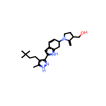 C=C1C(CO)CCN1C1C=Cc2cc(-c3n[nH]c(C)c3CCC(C)(C)C)[nH]c2C1